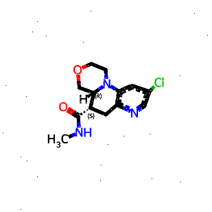 CNC(=O)[C@H]1Cc2ncc(Cl)cc2N2CCOC[C@@H]12